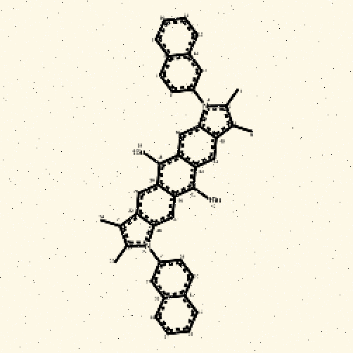 Cc1c(C)n(-c2ccc3ccccc3c2)c2cc3c(C(C)(C)C)c4cc5c(C)c(C)n(-c6ccc7ccccc7c6)c5cc4c(C(C)(C)C)c3cc12